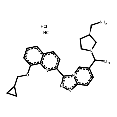 Cl.Cl.NC[C@@H]1CCN(C(c2ccc3nnc(-c4ccc5cccc(OCC6CC6)c5n4)n3c2)C(F)(F)F)C1